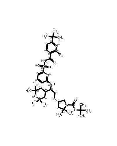 CC(C)(C)OC(=O)N1C[C@@H](CCC(Nc2cccc(S(=O)(=O)NC(=O)c3ccc(C(C)(C)C)nc3F)n2)C2CC(C)(C)OC(C)(C)C2)CC1(C)C